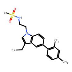 CCS(=O)(=O)NCCn1cc(CC(C)(C)C)c2cc(-c3ccc(C)cc3C(F)(F)F)ccc21